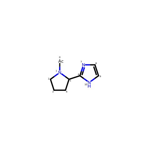 CC(=O)N1CCCC1c1ncc[nH]1